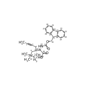 CC#CC[C@](C)(C[N+](C)(C)C)[C@H](NC(=O)OCC1c2ccccc2-c2ccccc21)C(=O)O